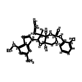 CCOc1nc(N)nc2c1ncn2[C@@H]1O[C@@H]2COP(=O)(Oc3ccccc3Cl)O[C@H]2[C@@]1(C)N=[N+]=[N-]